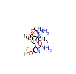 CN1C(N)=N[C@](C)(c2nc(-c3cc(OC(F)F)cnc3C(N)=O)cs2)C(C)(C)S1(=O)=O